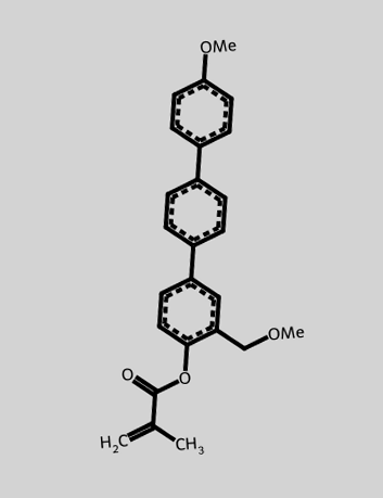 C=C(C)C(=O)Oc1ccc(-c2ccc(-c3ccc(OC)cc3)cc2)cc1COC